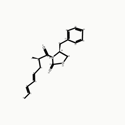 C/C=C/C=C/C[C@@H](C)C(=O)N1C(=O)OC[C@@H]1Cc1ccccc1